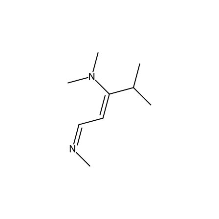 C/N=C\C=C(\C(C)C)N(C)C